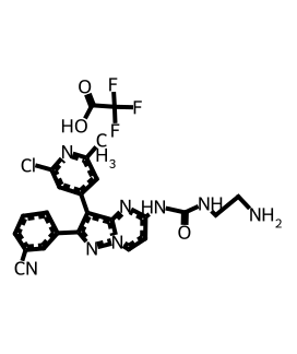 Cc1cc(-c2c(-c3cccc(C#N)c3)nn3ccc(NC(=O)NCCN)nc23)cc(Cl)n1.O=C(O)C(F)(F)F